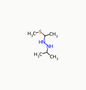 CSC(C)NNC(C)C